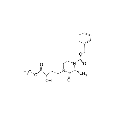 COC(=O)C(O)CCN1CCN(C(=O)OCc2ccccc2)[C@@H](C)C1=O